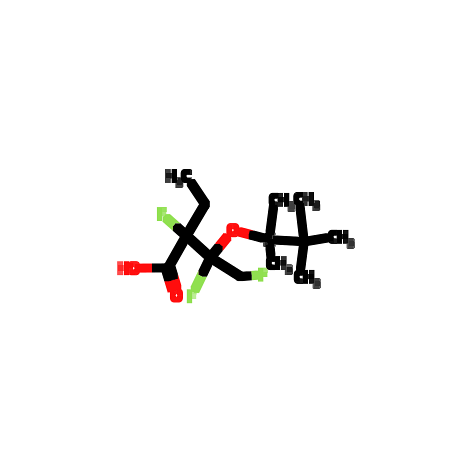 CCC(F)(C(=O)O)C(F)(CF)O[Si](C)(C)C(C)(C)C